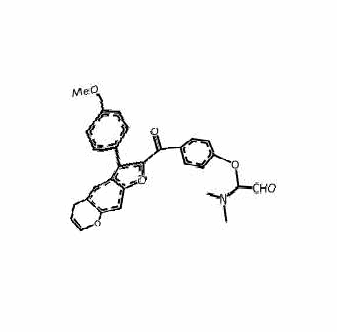 COc1ccc(-c2c(C(=O)c3ccc(OC(C=O)N(C)C)cc3)oc3cc4c(cc23)CC=CO4)cc1